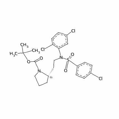 CC(C)(C)OC(=O)N1CCC[C@H]1CCN(c1cc(Cl)ccc1Cl)S(=O)(=O)c1ccc(Cl)cc1